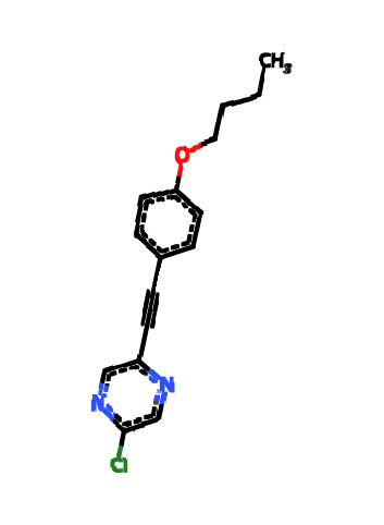 CCCCOc1ccc(C#Cc2cnc(Cl)cn2)cc1